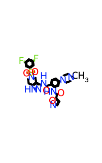 CN1CCN(c2ccc(C(=O)Nc3n[nH]c4c3CN(S(=O)(=O)c3cc(F)cc(F)c3)CC4)c(NC(=O)c3ccno3)c2)CC1